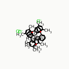 CC1=C(C)C(C)([Si](c2ccccc2-c2c(C)cc(C)cc2C)(c2ccccc2-c2c(C)cc(C)cc2C)c2ccccc2-c2c(C)cc(C)cc2C)[C]([Ti+3])=C1C.[Cl-].[Cl-].[Cl-]